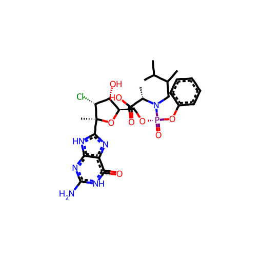 CC(C)C(C)CN([C@@H](C)C(=O)O)[P@@](=O)(OC[C@H]1O[C@@](C)(c2nc3c(=O)[nH]c(N)nc3[nH]2)[C@H](Cl)[C@@H]1O)Oc1ccccc1